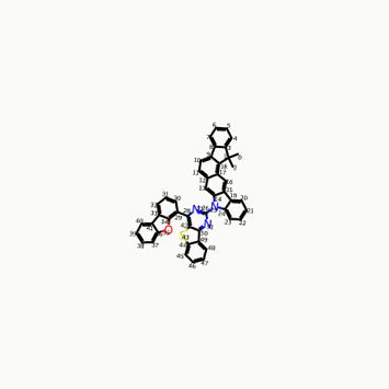 CC1(C)c2ccccc2-c2ccc3cc4c(cc3c21)c1ccccc1n4-c1nc(-c2cccc3c2oc2ccccc23)c2sc3ccccc3c2n1